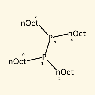 CCCCCCCCP(CCCCCCCC)P(CCCCCCCC)CCCCCCCC